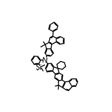 CC1(C)c2cc3c(cc2-c2c1ccc1ccccc21)C1(CCCCC1)c1cc(N(c2ccc4c(c2)C(C)(C)c2cc(-c5ccccc5)c5ccccc5c2-4)c2ccccc2[Si](C)(C)C)ccc1-3